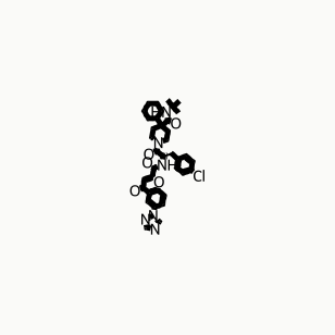 CC(C)(C)NC(=O)C1(C2CCCCC2)CCN(C(=O)[C@@H](Cc2ccc(Cl)cc2)NC(=O)c2cc(=O)c3cc(-n4cncn4)ccc3o2)CC1